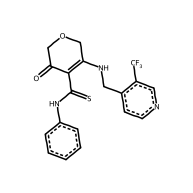 O=C1COCC(NCc2ccncc2C(F)(F)F)=C1C(=S)Nc1ccccc1